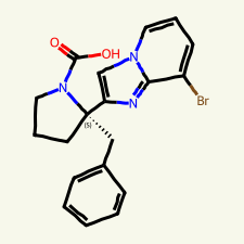 O=C(O)N1CCC[C@]1(Cc1ccccc1)c1cn2cccc(Br)c2n1